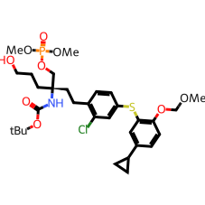 COCOc1ccc(C2CC2)cc1Sc1ccc(CC[C@@](CCCO)(COP(=O)(OC)OC)NC(=O)OC(C)(C)C)c(Cl)c1